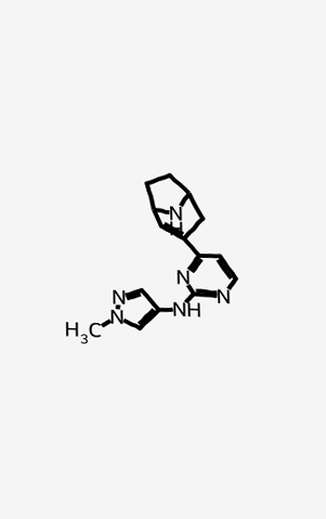 Cn1cc(Nc2nccc(C3=CC4CCC(C3)N4)n2)cn1